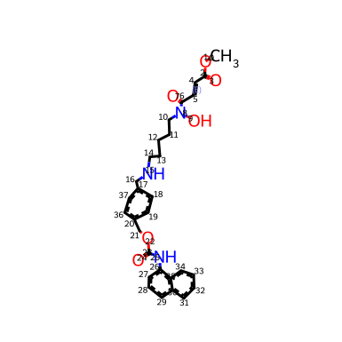 COC(=O)/C=C/C(=O)N(O)CCCCCNCc1ccc(COC(=O)Nc2cccc3ccccc23)cc1